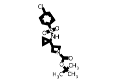 CC(C)(C)OC(=O)N1CC(C2(NS(=O)(=O)c3ccc(Cl)cc3)CC2)C1